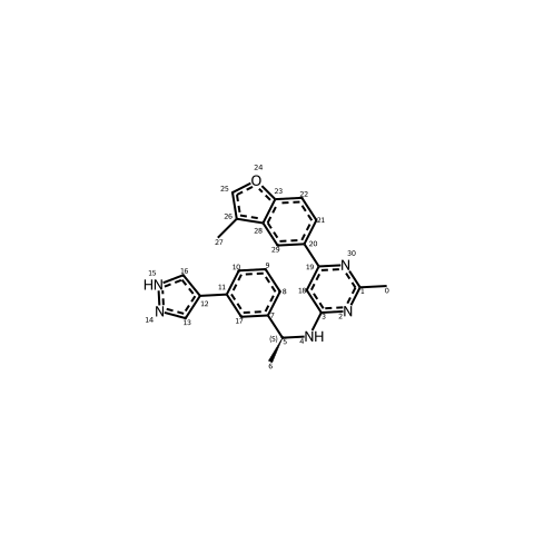 Cc1nc(N[C@@H](C)c2cccc(-c3cn[nH]c3)c2)cc(-c2ccc3occ(C)c3c2)n1